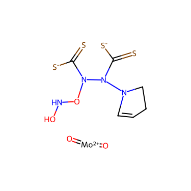 ONON(C(=S)[S-])N(C(=S)[S-])N1C=CCC1.[O]=[Mo+2]=[O]